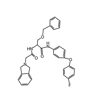 O=C(CN1Cc2ccccc2C1)NC(COCc1ccccc1)C(=O)Nc1ccc(Oc2ccc(F)cc2)cc1